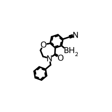 Bc1c(C#N)ccc2c1C(=O)N(Cc1ccccc1)CCO2